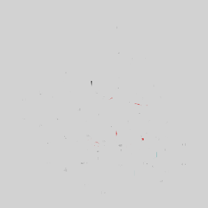 CC(=O)OCc1ccc(Cc2ccc(OC(F)(F)F)cc2)c([C@@]2(O)O[C@H]([C@H](C)OC(=O)c3ccccc3)[C@@H](OC(=O)c3ccccc3)[C@H](OC(=O)c3ccccc3)[C@H]2OC(=O)c2ccccc2)c1